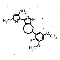 COc1cc(OC)c(F)c(C2CCCc3c(-c4nn(C)cc4N)n[nH]c3C2)c1